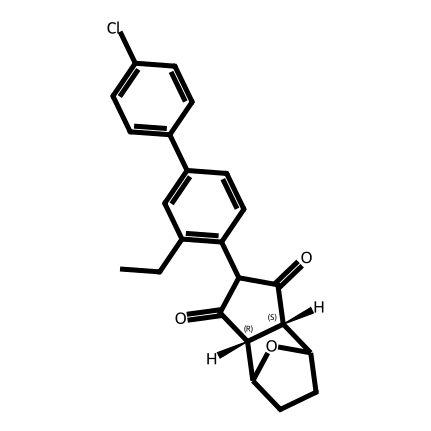 CCc1cc(-c2ccc(Cl)cc2)ccc1C1C(=O)[C@@H]2C3CCC(O3)[C@@H]2C1=O